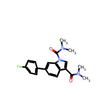 CN(C)C(=O)c1cn(C(=O)N(C)C)c2cc(-c3ccc(F)cc3)ccc12